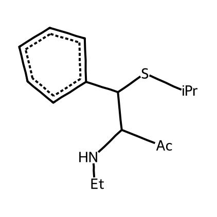 CCNC(C(C)=O)C(SC(C)C)c1ccccc1